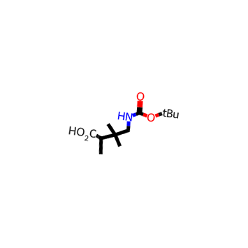 CC(C(=O)O)C(C)(C)CNC(=O)OC(C)(C)C